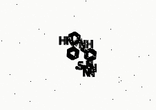 CSc1nnnn1-c1cccc(CN[C@@H]2CCCN[C@@H]2c2ccccc2)c1